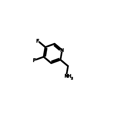 NCc1cc(F)c(F)cn1